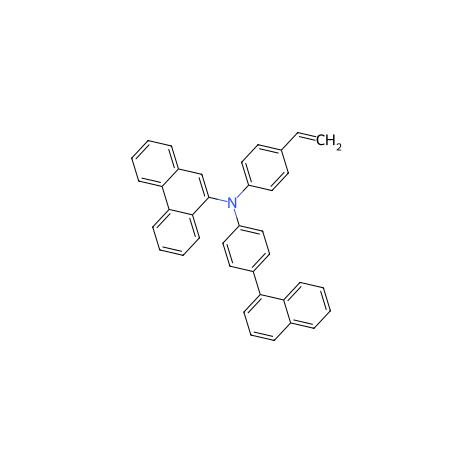 C=Cc1ccc(N(c2ccc(-c3cccc4ccccc34)cc2)c2cc3ccccc3c3ccccc23)cc1